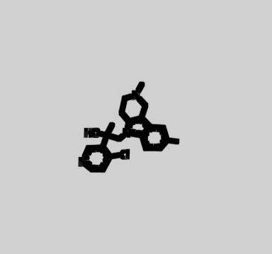 Cc1ccc2c(c1)c1c(n2CC(C)(O)c2cnccc2Cl)CCN(C)C1